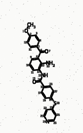 COc1ccc(C(=O)c2cccc(NC(=O)c3ccc(Sc4ccncc4)cc3)c2N)cc1